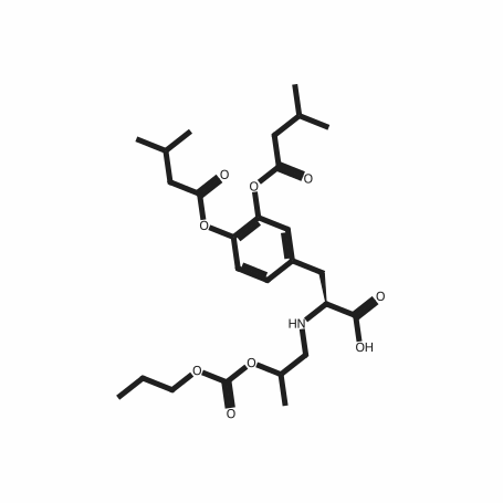 CCCOC(=O)OC(C)CN[C@@H](Cc1ccc(OC(=O)CC(C)C)c(OC(=O)CC(C)C)c1)C(=O)O